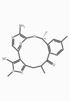 Cc1ccc2c(c1)[C@@H](C)Oc1nc(cnc1N)-c1c(nn(C)c1C#N)CC(C)C2=O